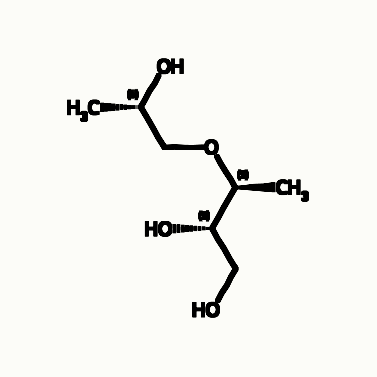 C[C@H](O)CO[C@@H](C)[C@@H](O)CO